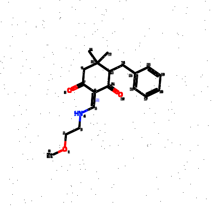 CCOCCN/C=C1\C(=O)CC(C)(C)C(Cc2ccccc2)C1=O